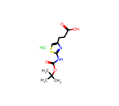 CC(C)(C)OC(=O)Nc1nc(CCC(=O)O)cs1.Cl